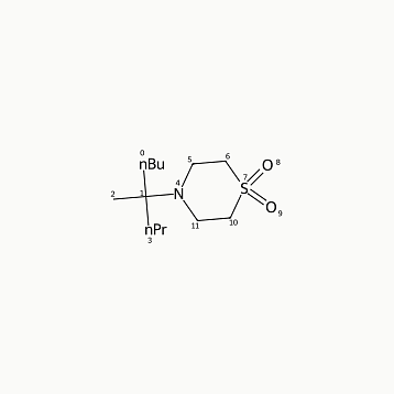 CCCCC(C)(CCC)N1CCS(=O)(=O)CC1